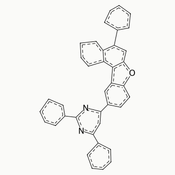 c1ccc(-c2cc(-c3ccc4oc5cc(-c6ccccc6)c6ccccc6c5c4c3)nc(-c3ccccc3)n2)cc1